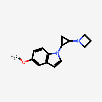 COc1ccc2c(ccn2C2CC2N2CCC2)c1